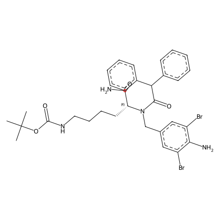 CC(C)(C)OC(=O)NCCCC[C@H](C(N)=O)N(Cc1cc(Br)c(N)c(Br)c1)C(=O)C(c1ccccc1)c1ccccc1